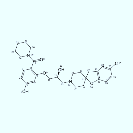 O=C(c1ccc(O)cc1OC[C@@H](O)CN1CCC2(CC1)Cc1cc(Cl)ccc1O2)N1CCCCC1